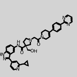 O=C(CN1CC[C@@](CO)(C(=O)Nc2ccc3[nH]nc(-c4ccnc(C5CC5)c4)c3c2)C1)N1CC=C(c2ccc(-c3ncccn3)cc2)CC1